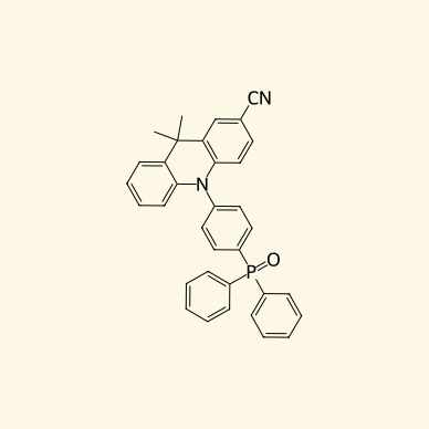 CC1(C)c2ccccc2N(c2ccc(P(=O)(c3ccccc3)c3ccccc3)cc2)c2ccc(C#N)cc21